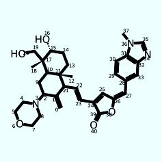 C=C1C(N2CCOCC2)CC2[C@](C)(CC[C@@H](O)[C@@]2(C)CO)C1/C=C/C1=CC(=C\c2ccc3c(c2)ncn3C)/OC1=O